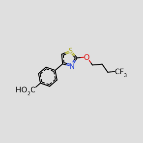 O=C(O)c1ccc(-c2csc(OCCCC(F)(F)F)n2)cc1